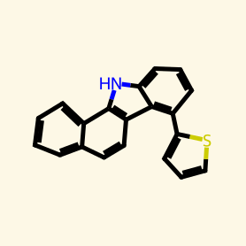 c1csc(-c2cccc3[nH]c4c5ccccc5ccc4c23)c1